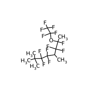 CC(C(F)(F)C(C)(F)OC(F)(F)C(F)(F)F)C(F)(F)C(F)(F)C(C)(C)C